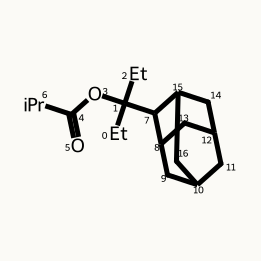 CCC(CC)(OC(=O)C(C)C)C1C2CC3CC(C2)CC1C3